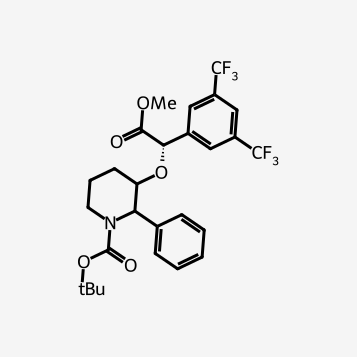 COC(=O)[C@@H](OC1CCCN(C(=O)OC(C)(C)C)C1c1ccccc1)c1cc(C(F)(F)F)cc(C(F)(F)F)c1